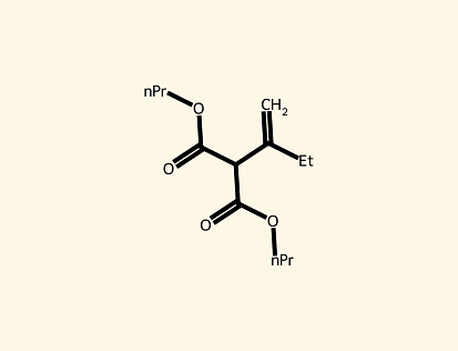 C=C(CC)C(C(=O)OCCC)C(=O)OCCC